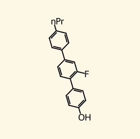 CCCc1ccc(-c2ccc(-c3ccc(O)cc3)c(F)c2)cc1